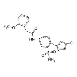 NS(=O)(=O)c1cc(NC(=O)Cc2ccccc2OC(F)(F)F)ccc1-n1cc(Cl)cn1